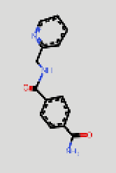 NC(=O)c1ccc(C(=O)NCc2ccccn2)cc1